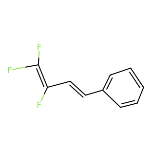 FC(F)=C(F)C=Cc1ccccc1